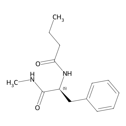 CCCC(=O)N[C@@H](Cc1ccccc1)C(=O)NC